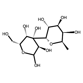 C[C@H]1O[C@H]([C@@]2(O)[C@@H](O)C(O)O[C@H](CO)[C@@H]2O)[C@H](O)[C@@H](O)[C@H]1O